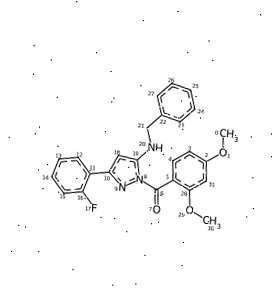 COc1ccc(C(=O)n2nc(-c3ccccc3F)cc2NCc2ccccc2)c(OC)c1